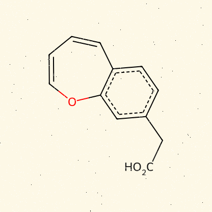 O=C(O)Cc1ccc2c(c1)OC=CC=C2